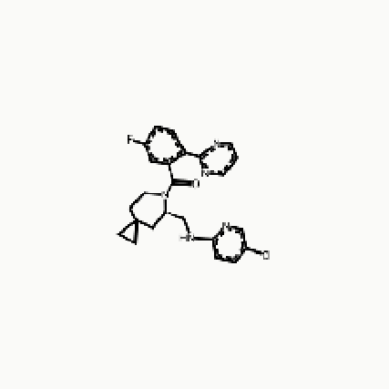 O=C(c1cc(F)ccc1-c1ncccn1)N1CCC2(CC2)C[C@@H]1CNc1ccc(Cl)cn1